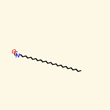 CCCCCCCCCCCCCCCCCCCCCCCCCN=C=O